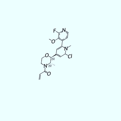 C=CC(=O)N1CCO[C@@H](C2=CC(Cl)N(C)C(c3ccnc(F)c3OC)=C2)[C@@H]1C